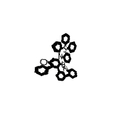 c1ccc(S2(c3ccccc3)c3ccccc3N3c4cc5oc6ccccc6c5c5c4B(c4cccc2c43)n2c3ccccc3c3cccc-5c32)cc1